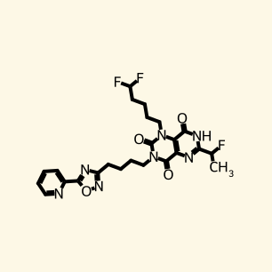 CC(F)c1nc2c(=O)n(CCCCc3noc(-c4ccccn4)n3)c(=O)n(CCCCC(F)F)c2c(=O)[nH]1